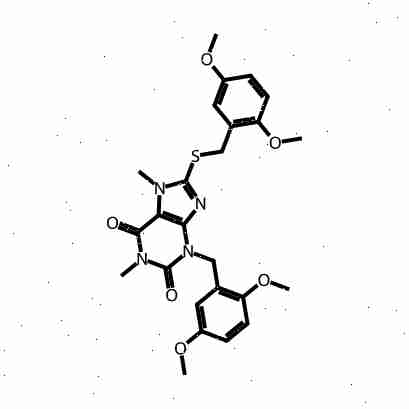 COc1ccc(OC)c(CSc2nc3c(c(=O)n(C)c(=O)n3Cc3cc(OC)ccc3OC)n2C)c1